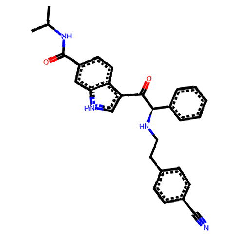 CC(C)NC(=O)c1ccc2c(C(=O)[C@H](NCCc3ccc(C#N)cc3)c3ccccc3)c[nH]c2c1